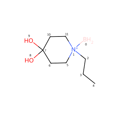 B[N+]1(CCC)CCC(O)(O)CC1